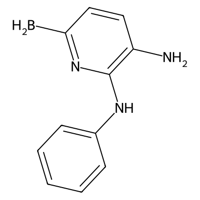 Bc1ccc(N)c(Nc2ccccc2)n1